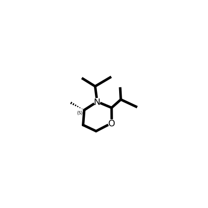 CC(C)C1OCC[C@H](C)N1C(C)C